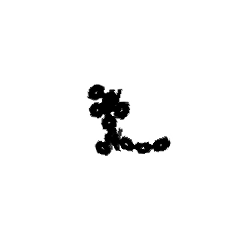 C1=CC(C2=CCC(C3=NC(c4ccc(-c5c(-c6ccccc6)n6ncc(-c7ccccc7)c6c6ccccc56)cc4)CC(c4ccccc4)=N3)C=C2)CC=C1c1ccccc1